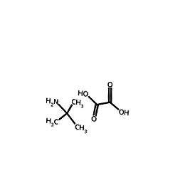 CC(C)(C)N.O=C(O)C(=O)O